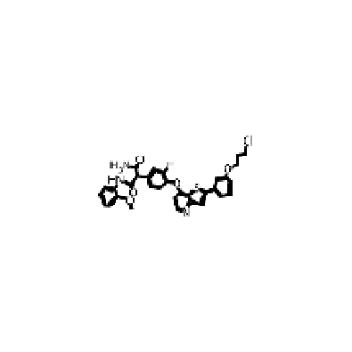 COc1ccccc1NC(=O)C(C(N)=O)c1ccc(Oc2ccnc3cc(-c4cccc(OCCCCl)c4)sc23)c(F)c1